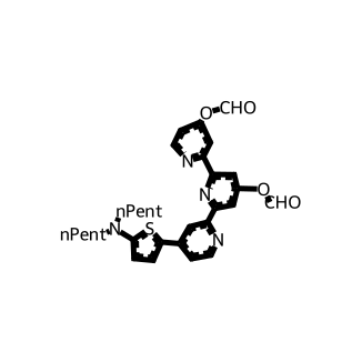 CCCCCN(CCCCC)c1ccc(-c2ccnc(-c3cc(OC=O)cc(-c4cc(OC=O)ccn4)n3)c2)s1